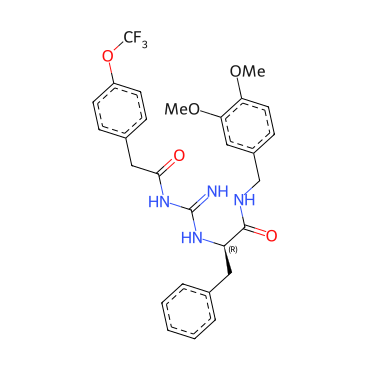 COc1ccc(CNC(=O)[C@@H](Cc2ccccc2)NC(=N)NC(=O)Cc2ccc(OC(F)(F)F)cc2)cc1OC